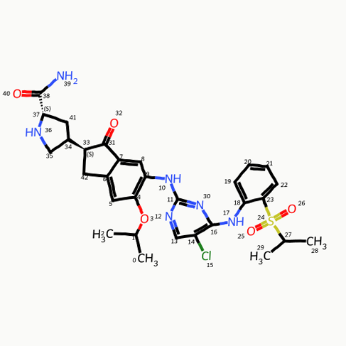 CC(C)Oc1cc2c(cc1Nc1ncc(Cl)c(Nc3ccccc3S(=O)(=O)C(C)C)n1)C(=O)[C@H](C1CN[C@H](C(N)=O)C1)C2